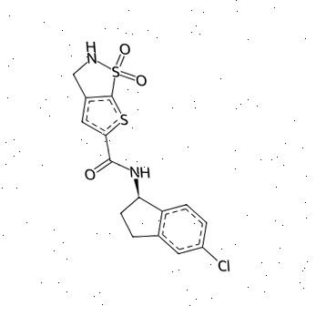 O=C(N[C@@H]1CCc2cc(Cl)ccc21)c1cc2c(s1)S(=O)(=O)NC2